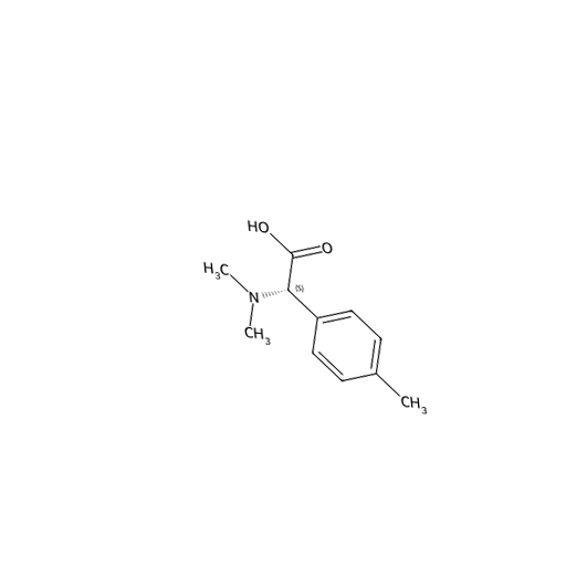 Cc1ccc([C@@H](C(=O)O)N(C)C)cc1